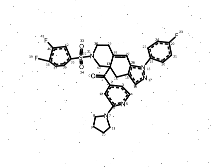 O=C(c1ccnc(N2CCCC2)c1)C12Cc3cnn(-c4ccc(F)cc4)c3C=C1CCN(S(=O)(=O)c1ccc(F)c(F)c1)C2